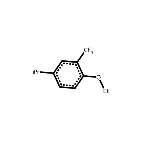 CCOc1ccc([C](C)C)cc1C(F)(F)F